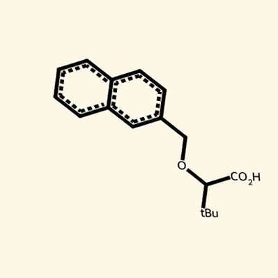 CC(C)(C)C(OCc1ccc2ccccc2c1)C(=O)O